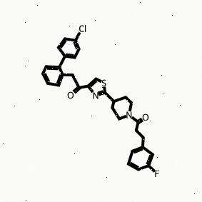 O=C(Cc1ccccc1-c1ccc(Cl)cc1)c1csc(C2CCN(C(=O)CCc3cccc(F)c3)CC2)n1